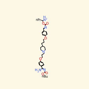 CCCCOC(=O)N=C(N)c1ccc(OCCCN2CCC(CCCOc3ccc(C=NC(=O)OC(N)CCC)cc3)CC2)cc1